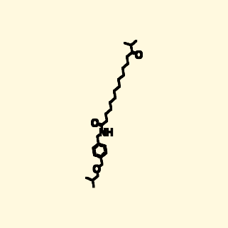 CC(C)COCc1ccc(CNC(=O)CCCCCCCCCCCCC(=O)C(C)C)cc1